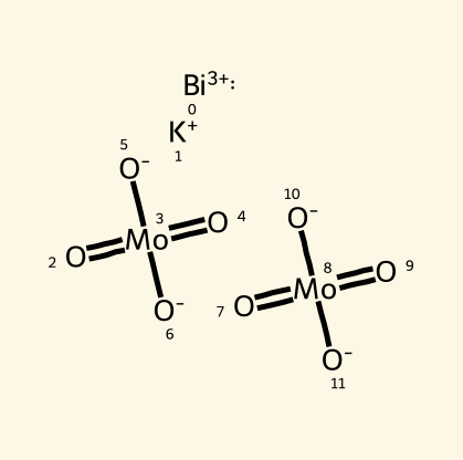 [Bi+3].[K+].[O]=[Mo](=[O])([O-])[O-].[O]=[Mo](=[O])([O-])[O-]